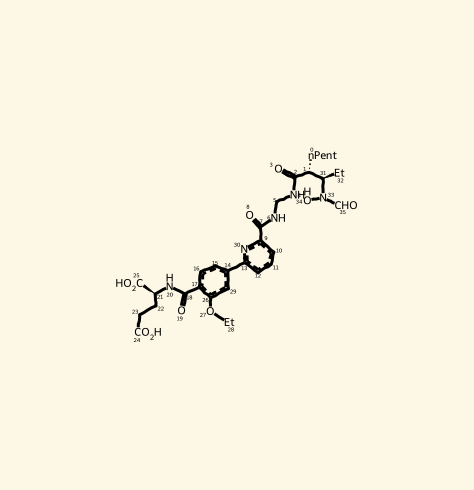 CCCCC[C@@H](C(=O)NCNC(=O)c1cccc(-c2ccc(C(=O)N[C@@H](CCC(=O)O)C(=O)O)c(OCC)c2)n1)[C@@H](CC)N(O)C=O